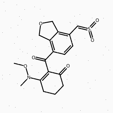 CON(C)C1=C(C(=O)c2ccc(C=S(=O)=O)c3c2COC3)C(=O)CCC1